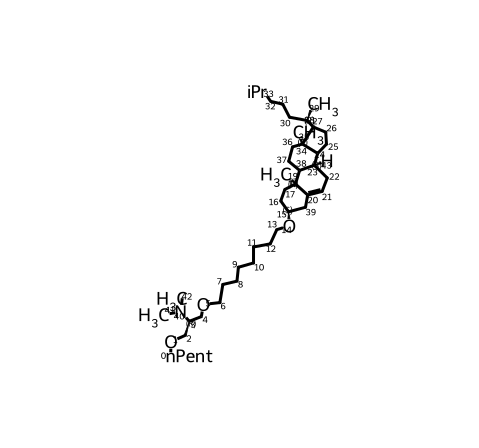 CCCCCOC[C@H](COCCCCCCCCO[C@H]1CC[C@@]2(C)C(=CC[C@H]3C4CCC([C@H](C)CCCC(C)C)[C@@]4(C)CCC32)C1)N(C)C